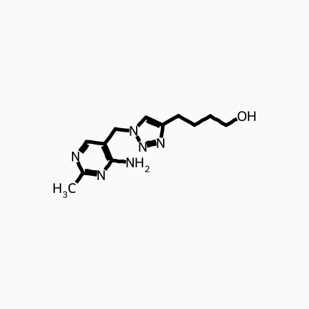 Cc1ncc(Cn2cc(CCCCO)nn2)c(N)n1